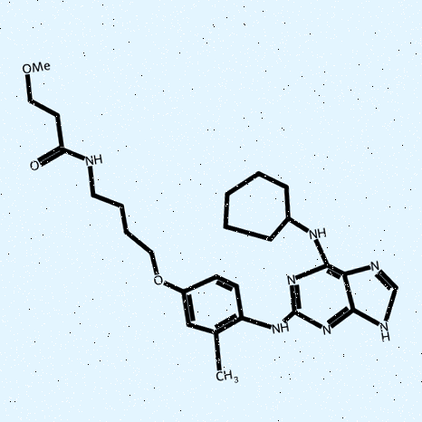 COCCC(=O)NCCCCOc1ccc(Nc2nc(NC3CCCCC3)c3nc[nH]c3n2)c(C)c1